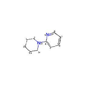 [CH]1CCN(c2ccccn2)CC1